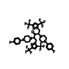 O=C(C(Cn1nc(C(F)(F)F)cc1C(F)(F)F)N1CCN(c2ccc(F)cc2)CC1)C(Cn1nc(C(F)(F)F)cc1C(F)(F)F)N1CCN(c2ccc(F)cc2)CC1